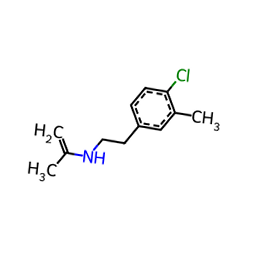 C=C(C)NCCc1ccc(Cl)c(C)c1